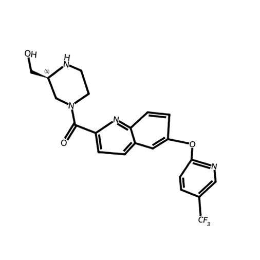 O=C(c1ccc2cc(Oc3ccc(C(F)(F)F)cn3)ccc2n1)N1CCN[C@H](CO)C1